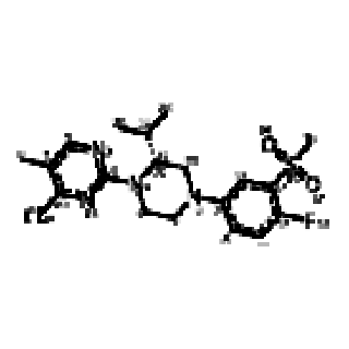 Cc1cnc(N2CCN(c3ccc(F)c(S(C)(=O)=O)c3)C[C@H]2C(C)C)nc1Cl